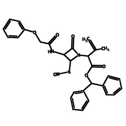 C=C(C)C(C(=O)OC(c1ccccc1)c1ccccc1)N1C(=O)C(NC(=O)COc2ccccc2)C1SN=O